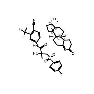 CC(O)(CS(=O)(=O)c1ccc(F)cc1)C(=O)Nc1ccc(C#N)c(C(F)(F)F)c1.C[C@]12CC[C@H]3[C@@H](CCC4=CC(=O)CC[C@@]43C)[C@@H]1CC[C@@H]2O